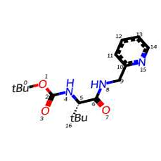 CC(C)(C)OC(=O)N[C@H](C(=O)NCc1ccccn1)C(C)(C)C